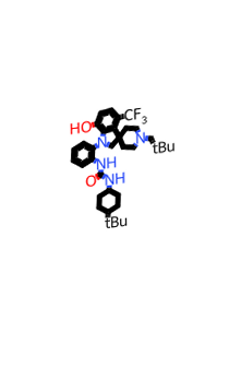 CC(C)(C)CN1CCC2(CC1)CN(c1ccccc1NC(=O)NC1CCC(C(C)(C)C)CC1)c1c(O)ccc(C(F)(F)F)c12